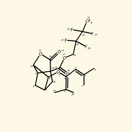 CC(C)=CC(OC1C2CC3C1OC(=O)C3(C(=O)OCC(F)(F)C(F)(F)C(F)(F)F)C2)=C(C)C